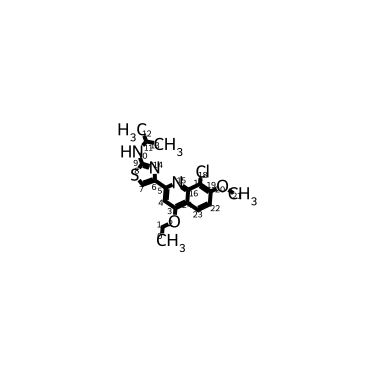 CCOc1cc(-c2csc(NC(C)C)n2)nc2c(Cl)c(OC)ccc12